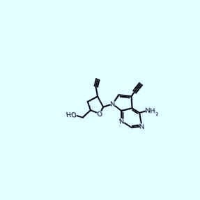 C#Cc1cn(C2OC(CO)CC2C#C)c2ncnc(N)c12